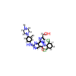 Cc1cc(Nc2ncc3c(=O)n(-c4c(Cl)cccc4Cl)n4cc(CO)nc4c3n2)ccc1N1CCN(C)CC1